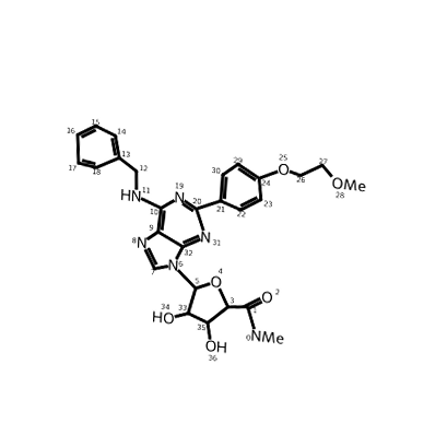 CNC(=O)C1OC(n2cnc3c(NCc4ccccc4)nc(-c4ccc(OCCOC)cc4)nc32)C(O)C1O